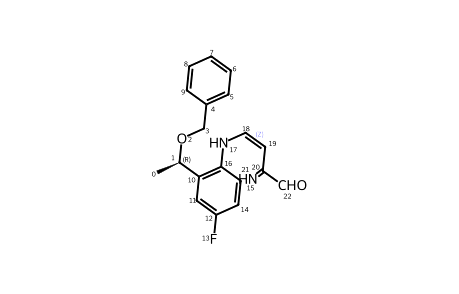 C[C@@H](OCc1ccccc1)c1cc(F)ccc1N/C=C\C(=N)C=O